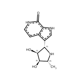 C[C@H]1N[C@@H](c2c[nH]c3c(=O)[nH]ccc23)[C@H](O)[C@@H]1O